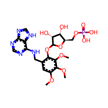 COc1cc(CNc2ncnc3nc[nH]c23)c(OC2O[C@H](COP(=O)(O)O)[C@@H](O)[C@H]2O)c(OC)c1OC